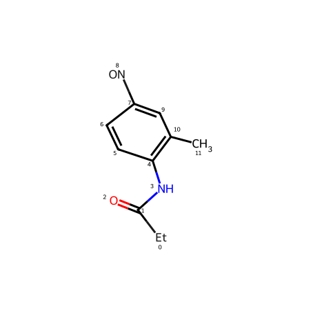 CCC(=O)Nc1ccc(N=O)cc1C